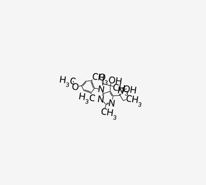 CCC(=NO)c1nc(C)nc2c1C(C)(O)C(=O)N2c1c(C)cc(OC)cc1C